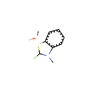 CN1c2ccccc2SC1F.O=S(=O)(O)OF